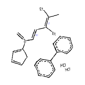 Cl.Cl.[CH2]=[Zr](/[CH]=C/C(CC)=C(/C)CC)[C]1=CC=CC1.c1ccc(-c2ccccc2)cc1